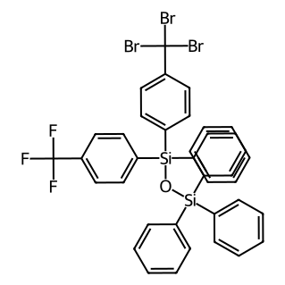 FC(F)(F)c1ccc([Si](O[Si](c2ccccc2)(c2ccccc2)c2ccccc2)(c2ccccc2)c2ccc(C(Br)(Br)Br)cc2)cc1